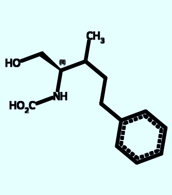 CC(CCc1ccccc1)[C@H](CO)NC(=O)O